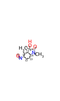 CN1C(=O)C(C)(O)c2cc(N=O)ccc21